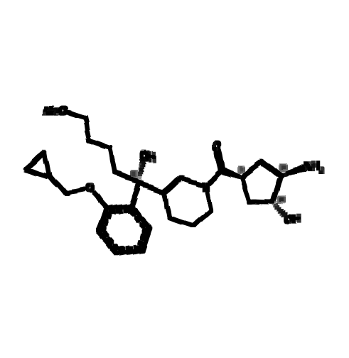 COCCCC[C@](O)(c1ccccc1OCC1CC1)C1CCCN(C(=O)[C@H]2C[C@@H](N)[C@H](O)C2)C1